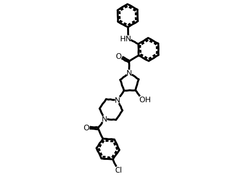 O=C(c1ccc(Cl)cc1)N1CCN(C2CN(C(=O)c3ccccc3Nc3ccccc3)CC2O)CC1